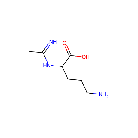 CC(=N)NC(CCCN)C(=O)O